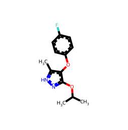 Cc1[nH]nc(OC(C)C)c1Oc1ccc(F)cc1